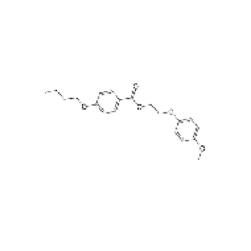 CCCCOc1ccc(C(=O)OCCOc2ccc(OC)cc2)cc1